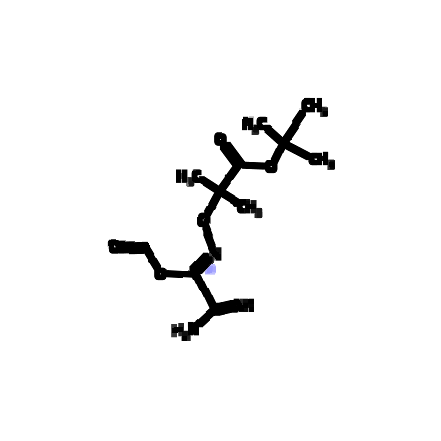 CC(C)(C)OC(=O)C(C)(C)O/N=C(\OC=O)C(=N)N